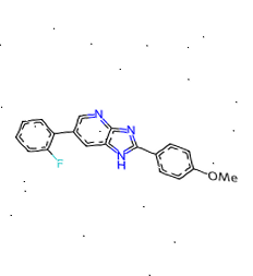 COc1ccc(-c2nc3ncc(-c4ccccc4F)cc3[nH]2)cc1